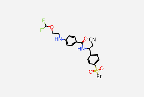 CCS(=O)(=O)c1ccc([C@H](CC#N)NC(=O)c2ccc(NCCOC(F)F)cc2)cc1